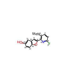 CNc1ccc(F)nc1-c1cc2cc(O)ccc2o1